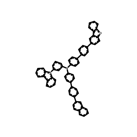 c1cc(N(c2ccc(-c3ccc(-c4ccc5ccccc5c4)cc3)cc2)c2ccc(-c3ccc(-c4ccc5oc6ccccc6c5c4)cc3)cc2)cc(-n2c3ccccc3c3ccccc32)c1